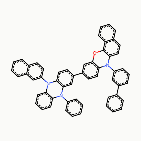 c1ccc(-c2cccc(N3c4ccc(-c5ccc6c(c5)N(c5ccccc5)c5ccccc5N6c5ccc6ccccc6c5)cc4Oc4c3ccc3ccccc43)c2)cc1